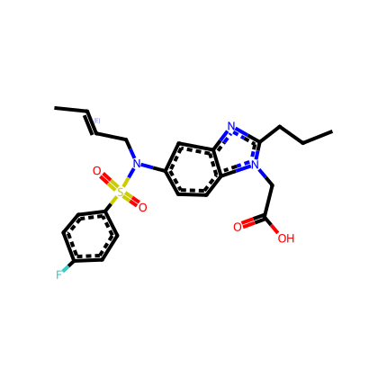 C/C=C/CN(c1ccc2c(c1)nc(CCC)n2CC(=O)O)S(=O)(=O)c1ccc(F)cc1